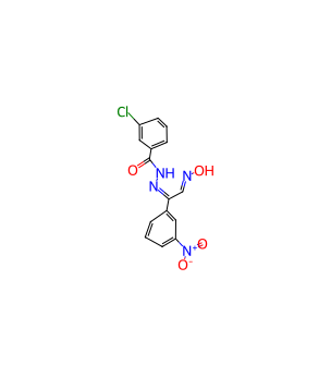 O=C(NN=C(C=NO)c1cccc([N+](=O)[O-])c1)c1cccc(Cl)c1